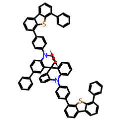 c1ccc(-c2ccc3c(c2)C2(c4ccccc4N(c4ccc(-c5cccc6c5sc5c(-c7ccccc7)cccc56)cc4)c4ccccc42)c2ccccc2N3c2ccc(-c3cccc4c3sc3c(-c5ccccc5)cccc34)cc2)cc1